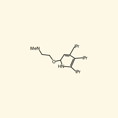 CNCCOC1C=C(C(C)C)C(C(C)C)=C(C(C)C)N1